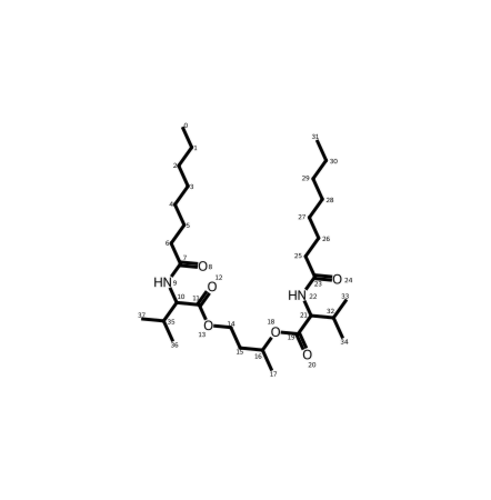 CCCCCCCC(=O)NC(C(=O)OCCC(C)OC(=O)C(NC(=O)CCCCCCC)C(C)C)C(C)C